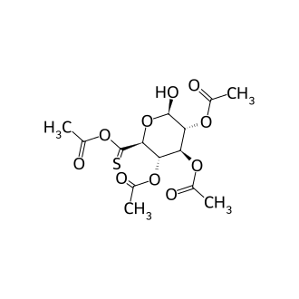 CC(=O)OC(=S)[C@H]1O[C@@H](O)[C@H](OC(C)=O)[C@@H](OC(C)=O)[C@@H]1OC(C)=O